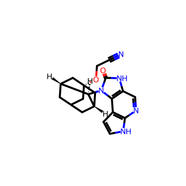 N#CCO[C@]12CC3C[C@H](C1)[C@@H](n1c(=O)[nH]c4cnc5[nH]ccc5c41)[C@@H](C3)C2